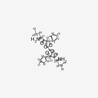 Cc1ccc(C(OC(=O)C(=O)OC(c2ccc(C)cc2)C(C)(C)C(=O)CC(N)CC(C)C)C(C)(C)C(=O)CC(N)CC(C)C)cc1